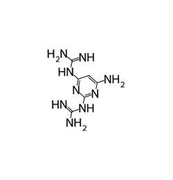 N=C(N)Nc1cc(N)nc(NC(=N)N)n1